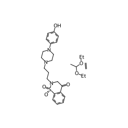 C=C.CCOC(C)OCC.O=C1CN(CCCN2CCN(c3ccc(O)cc3)CC2)S(=O)(=O)c2ccccc21